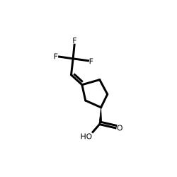 O=C(O)[C@@H]1CC/C(=C\C(F)(F)F)C1